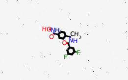 CC(NC(=O)c1cc(F)cc(F)c1)c1ccc(C(=O)NO)cc1